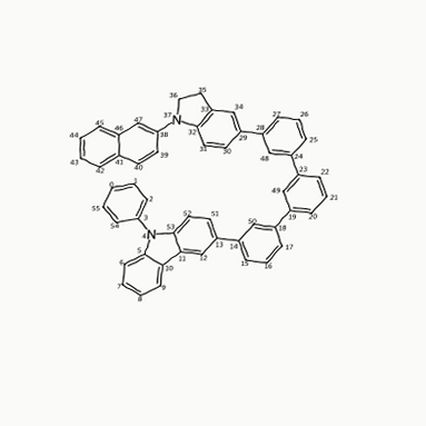 c1ccc(-n2c3ccccc3c3cc(-c4cccc(-c5cccc(-c6cccc(-c7ccc8c(c7)CCN8c7ccc8ccccc8c7)c6)c5)c4)ccc32)cc1